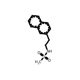 CS(=O)(=O)NCCc1ccc2ccccc2c1